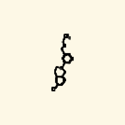 FC(F)(F)COCc1cncc(N2CCc3cc(Cl)ccc3C2)c1